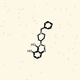 OC1=c2c(O)cccc2=NSN1C1CCN(Cc2ccccc2)CC1